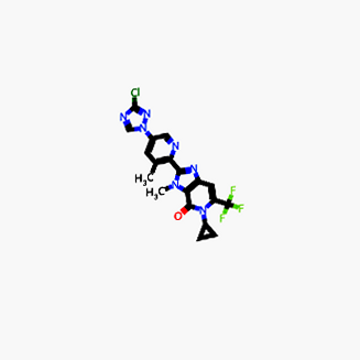 Cc1cc(-n2cnc(Cl)n2)cnc1-c1nc2cc(C(F)(F)F)n(C3CC3)c(=O)c2n1C